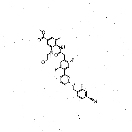 COCCNc1cc(C(=O)OC)cc(C)c1NC(=O)Cc1cc(F)c(-c2cccc(OCc3ccc(C#N)cc3F)n2)cc1F